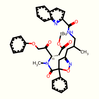 CC(CNC(=O)c1ccc2ccccc2n1)CC1=NOC(C(=O)N(C)[C@@H](CC(=O)OC(C)(C)C)C(=O)COc2ccccc2)(c2ccccc2)C1